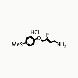 CSc1ccc(OCC(F)=CCN)cc1.Cl